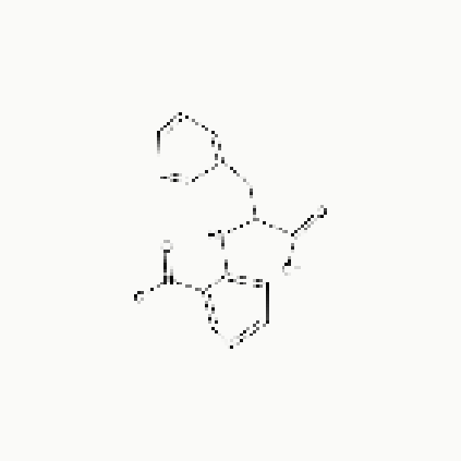 O=C(O)C(Cc1ccccc1)Nc1ccccc1[N+](=O)[O-]